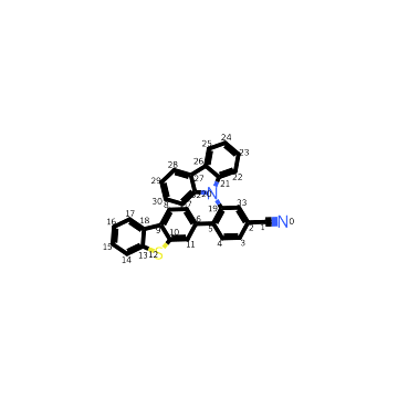 N#Cc1ccc(-c2ccc3c(c2)sc2ccccc23)c(-n2c3ccccc3c3ccccc32)c1